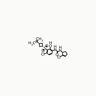 CN(C)[C@H]1C[C@H](S(=O)(=O)c2c(Cl)ccc(NC(=O)NC3CCC=C3Cl)c2O)C1